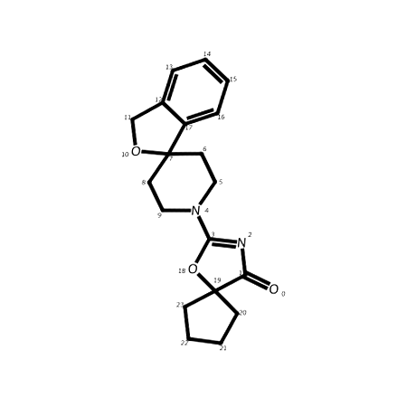 O=C1N=C(N2CCC3(CC2)OCc2ccccc23)OC12CCCC2